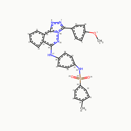 COc1ccc(-c2nnc3c4ccccc4c(Nc4ccc(NS(=O)(=O)c5ccc(C)cc5)cc4)nn23)cc1